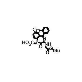 CC(C)(C)OC(=O)CNC1N=C(c2ccccc2Cl)c2cc(Cl)ccc2N(CC(=O)O)C1=O